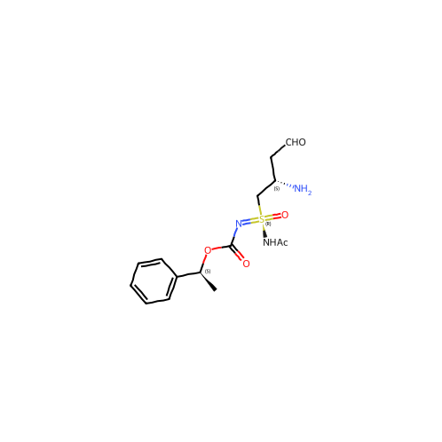 CC(=O)N[S@](=O)(C[C@@H](N)CC=O)=NC(=O)O[C@@H](C)c1ccccc1